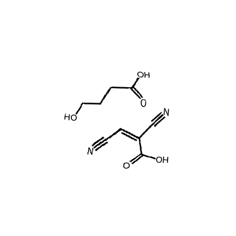 N#CC=C(C#N)C(=O)O.O=C(O)CCCO